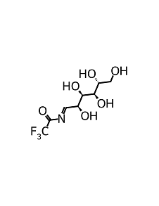 O=C(N=C[C@H](O)[C@@H](O)[C@H](O)[C@H](O)CO)C(F)(F)F